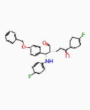 O=C[C@H](CCC(=O)C1=CC=C(F)CC1)[C@H](Nc1ccc(F)cc1)c1ccc(OCc2ccccc2)cc1